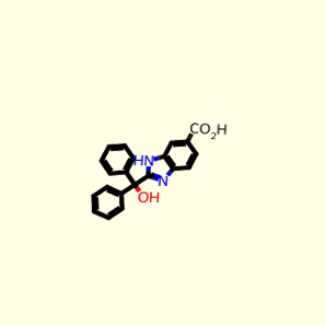 O=C(O)c1ccc2nc(C(O)(c3ccccc3)c3ccccc3)[nH]c2c1